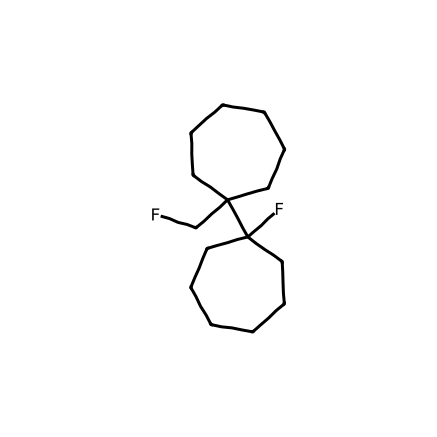 FCC1(C2(F)CCCCCC2)CCCCCC1